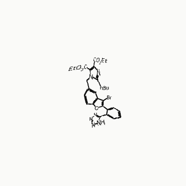 CCCCc1nc(C(=O)OCC)c(C(=O)OCC)n1Cc1ccc2oc(-c3ccccc3-c3nnn[nH]3)c(Br)c2c1